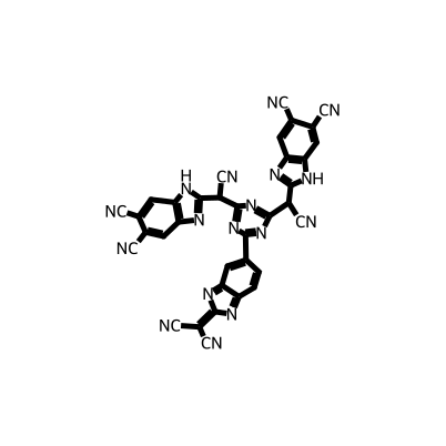 N#CC(C#N)=C1N=c2ccc(-c3nc(C(C#N)c4nc5cc(C#N)c(C#N)cc5[nH]4)nc(C(C#N)c4nc5cc(C#N)c(C#N)cc5[nH]4)n3)cc2=N1